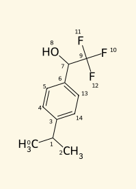 CC(C)c1ccc(C(O)C(F)(F)F)cc1